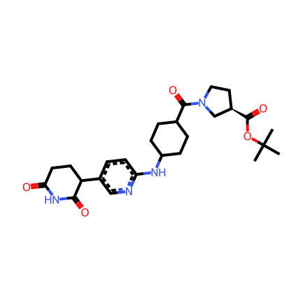 CC(C)(C)OC(=O)[C@@H]1CCN(C(=O)C2CCC(Nc3ccc(C4CCC(=O)NC4=O)cn3)CC2)C1